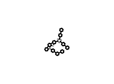 c1ccc(-c2ccc(-c3nc(-c4ccc(-c5ccccc5)cc4)nc(-c4ccc5c(c4)oc4c5ccc5c6ccccc6n(-c6ccc(-c7cccc(-c8ccccc8)c7)cc6)c54)n3)cc2)cc1